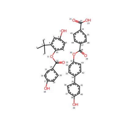 CC(C)(C)c1cc(O)ccc1OC(=O)c1ccc(O)cc1.O=C(O)c1ccc(C(=O)Oc2ccc(-c3ccc(O)cc3)cc2)cc1